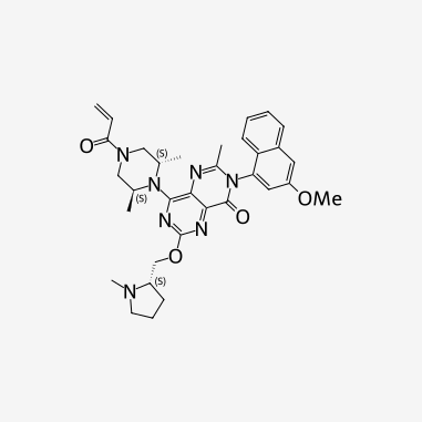 C=CC(=O)N1C[C@H](C)N(c2nc(OC[C@@H]3CCCN3C)nc3c(=O)n(-c4cc(OC)cc5ccccc45)c(C)nc23)[C@@H](C)C1